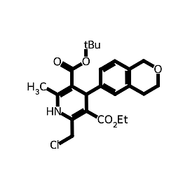 CCOC(=O)C1=C(CCl)NC(C)=C(C(=O)OC(C)(C)C)C1c1ccc2c(c1)CCOC2